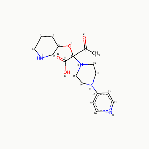 CC(=O)C(OC1CCCNC1)(C(=O)O)N1CCN(c2ccncc2)CC1